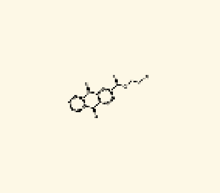 O=C(OCCO)c1ccc2c(c1)C(=O)c1ccccc1C2=O